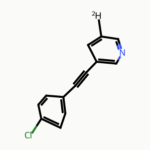 [2H]c1cncc(C#Cc2ccc(Cl)cc2)c1